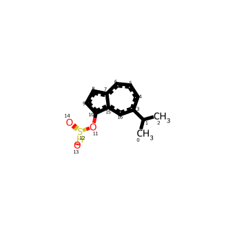 CC(C)c1cccc2ccc(O[SH](=O)=O)c-2c1